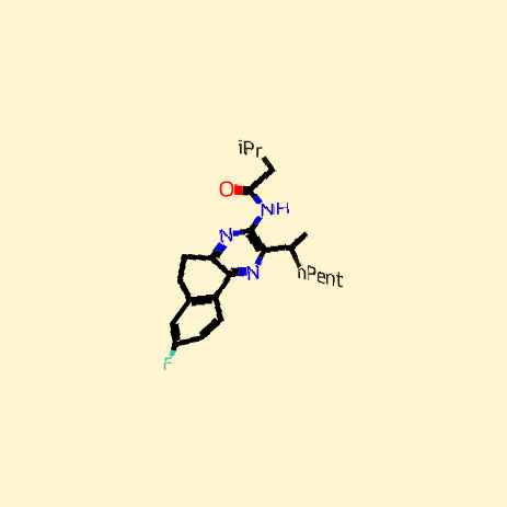 CCCCCC(C)c1nc2c(nc1NC(=O)CC(C)C)CCc1cc(F)ccc1-2